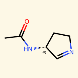 CC(=O)N[C@H]1C=NCC1